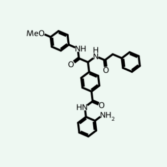 COc1ccc(NC(=O)C(NC(=O)Cc2ccccc2)c2ccc(C(=O)Nc3ccccc3N)cc2)cc1